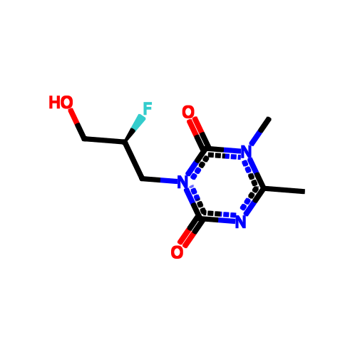 Cc1nc(=O)n(C[C@H](F)CO)c(=O)n1C